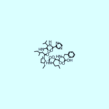 CCCC(NC(=O)[C@@H]1[C@@H](CC)CCN1C(=O)[C@@H](NC(=O)[C@@H](NC(=O)c1cnccn1)C(C)C)C(C)CC)C(=O)C(=O)N[C@@H](Cc1ccccc1)C(=O)O